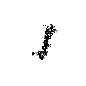 COC(=O)NC(C(=O)N1CCC[C@H]1c1ncc(-c2ccc3c(c2)C(=O)c2cc(-c4cnc([C@@H]5CCCN5C(=O)CC(C)C)[nH]4)ccc2-3)[nH]1)C(C)C